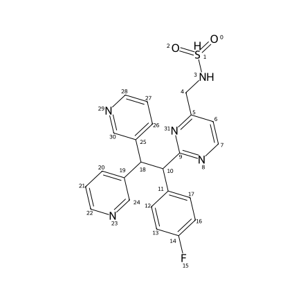 O=[SH](=O)NCc1ccnc(C(c2ccc(F)cc2)C(c2cccnc2)c2cccnc2)n1